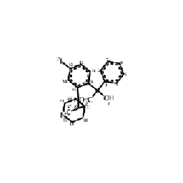 O=C(O)C(O)(c1ccccc1)c1ccc(I)cc1C1CN2CCC1CC2